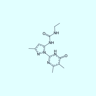 CCNC(=O)Nc1cc(C)nn1-c1nc(C)c(C)c(=O)[nH]1